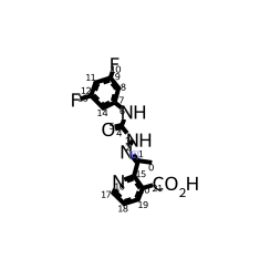 C/C(=N\NC(=O)Nc1cc(F)cc(F)c1)c1ncccc1C(=O)O